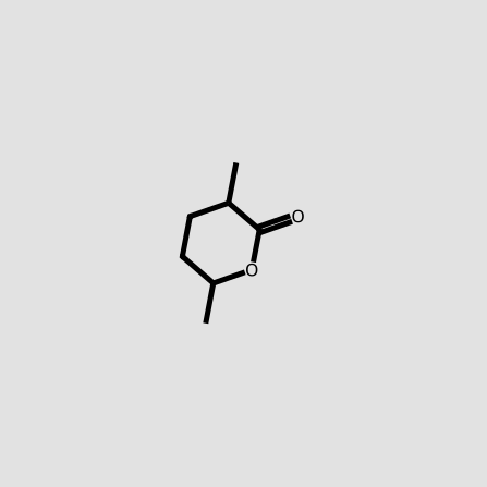 CC1CCC(C)C(=O)O1